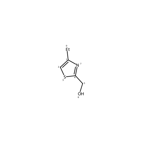 CCc1csc(CO)n1